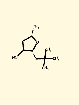 C[C@H]1CC(O)[C@@H](CC(C)(C)C)O1